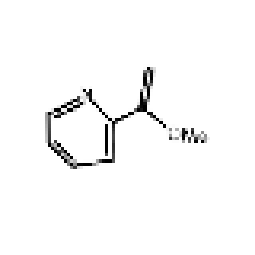 C=C(OC)c1ccccn1